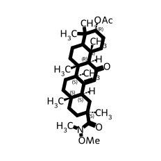 CON(C)C(=O)[C@@]1(C)CC[C@]2(C)CC[C@]3(C)C(=CC(=O)[C@@H]4[C@@]5(C)CC[C@@H](OC(C)=O)C(C)(C)C5CC[C@]43C)[C@H]2C1